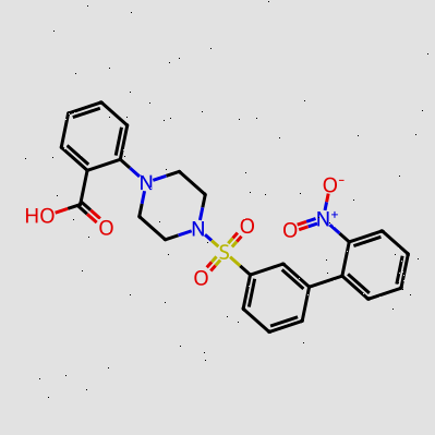 O=C(O)c1ccccc1N1CCN(S(=O)(=O)c2cccc(-c3ccccc3[N+](=O)[O-])c2)CC1